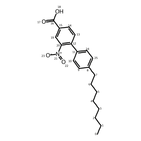 CCCCCCCCc1ccc(-c2ccc(C(=O)O)cc2[N+](=O)[O-])cc1